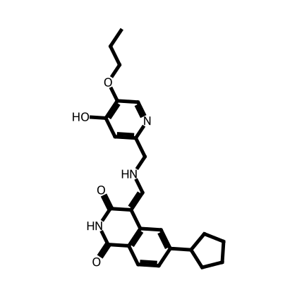 CCCOc1cnc(CNC=C2C(=O)NC(=O)c3ccc(C4CCCC4)cc32)cc1O